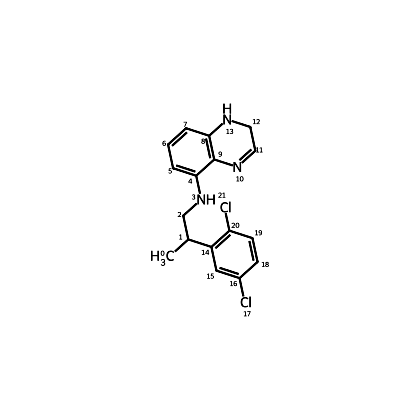 CC(CNc1cccc2c1N=CCN2)c1cc(Cl)ccc1Cl